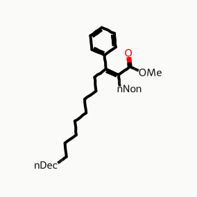 CCCCCCCCCCCCCCCCCCC(=C(CCCCCCCCC)C(=O)OC)c1ccccc1